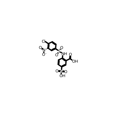 O=C(O)c1cc(S(=O)(=O)O)ccc1NS(=O)(=O)c1ccc(Cl)c([N+](=O)[O-])c1